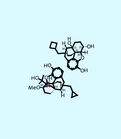 CO[C@]12CC[C@@]3(C[C@@H]1C(C)(C)O)[C@H]1Cc4ccc(O)c5c4[C@@]3(CCN1CC1CC1)[C@H]2O5.Oc1ccc2c3c1O[C@H]1[C@@H](O)CC[C@@]4(O)[C@@H](C2)N(CC2CCC2)CC[C@]314